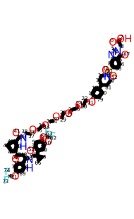 O=C(O)Cn1cnc2cc(S(=O)(=O)N3CCC(c4ccc(OCCOCCOCCOCCOCCOCCNC(=O)c5cccc([C@H]6C[C@@H](NC(=O)C7(c8ccc9c(c8)OC(F)(F)O9)CC7)c7ccc(OC(F)F)cc7O6)c5)cc4)CC3)ccc2c1=O